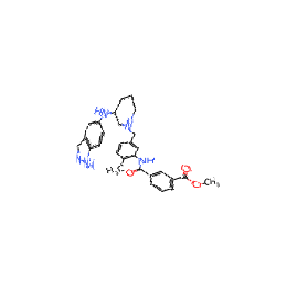 COC(=O)c1cccc(C(=O)Nc2cc(CN3CCCC(Nc4ccc5[nH]ncc5c4)C3)ccc2C)c1